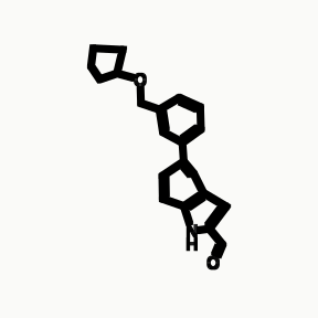 O=Cc1cc2cc(-c3cccc(COC4CCCC4)c3)ccc2[nH]1